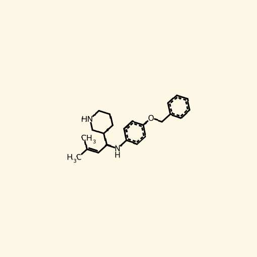 CC(C)=CC(Nc1ccc(OCc2ccccc2)cc1)C1CCCNC1